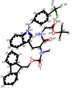 CN(C(=O)OCC1c2ccccc2-c2ccccc21)C(Cc1cn(Cc2ccc(C(F)(F)F)cc2)c2ccccc12)C(=O)NCC(=O)OC(C)(C)C